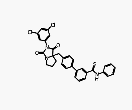 O=C1N(c2cc(Cl)cc(Cl)c2)C(=O)C2(Cc3ccc(-c4cccc(C(=S)Nc5ccccc5)c4)cc3)CCCN12